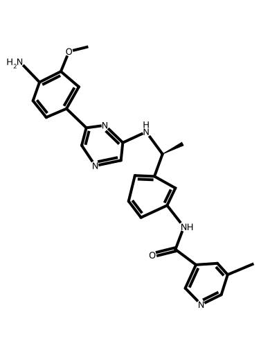 COc1cc(-c2cncc(N[C@@H](C)c3cccc(NC(=O)c4cncc(C)c4)c3)n2)ccc1N